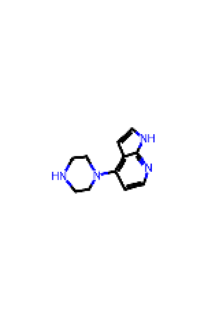 c1cc(N2CCNCC2)c2cc[nH]c2n1